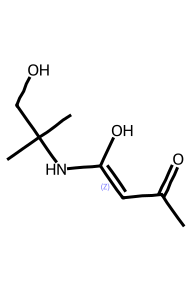 CC(=O)/C=C(\O)NC(C)(C)CO